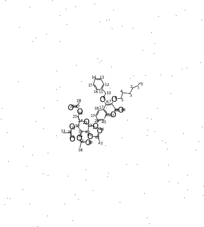 CCCCCCOc1c(OCc2ccccc2)c2ccc(O[C@@H]3O[C@H](COC(C)=O)[C@@H](OC(C)=O)[C@H](OC(C)=O)[C@H]3OC(C)=O)cc2oc1=O